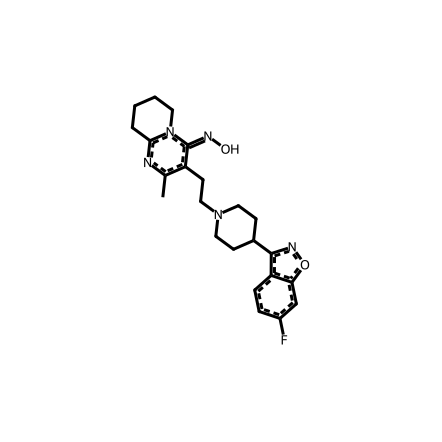 Cc1nc2n(c(=NO)c1CCN1CCC(c3noc4cc(F)ccc34)CC1)CCCC2